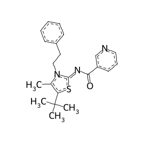 Cc1c(C(C)(C)C)s/c(=N\C(=O)c2cccnc2)n1CCc1ccccc1